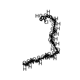 CC(=O)Nc1cn(C)c(C(=O)Nc2cn(C)c(C(=O)Nc3cc(C(=O)NCCC(=O)Nc4cn(C)c(C(=O)Nc5cc(C(=O)Nc6cc(C(=O)NCCCC(=O)Nc7cn(C)c(C(=O)Nc8cn(C)c(C(=O)Nc9cc(C(=O)NCCC(=O)Nc%10cc(C(=O)Nc%11ccc%12[nH]c(C(=O)N%13CC(CCl)c%14c%13cc(O)c%13ccccc%14%13)cc%12c%11)n(C)c%10)n(C)c9)n8)n7)n(C)c6)n(C)c5)n4)n(C)c3)n2)n1